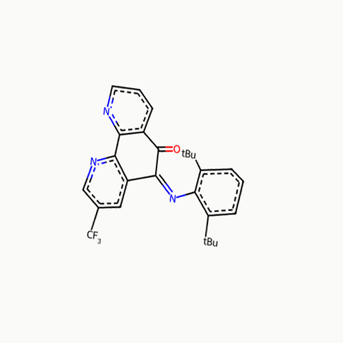 CC(C)(C)c1cccc(C(C)(C)C)c1N=C1C(=O)c2cccnc2-c2ncc(C(F)(F)F)cc21